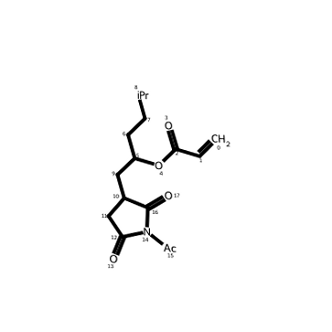 C=CC(=O)OC(CCC(C)C)CC1CC(=O)N(C(C)=O)C1=O